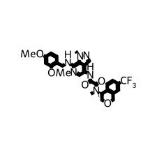 COc1ccc(CNc2ncc(NC(=O)C(=O)N(C)[C@@H]3COCc4cc(C(F)(F)F)ccc43)c3cnn(C)c23)c(OC)c1